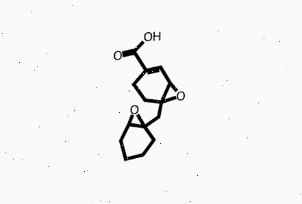 O=C(O)C1=CC2OC2(CC23CCCCC2O3)CC1